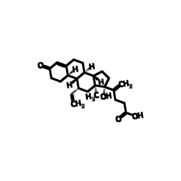 C=C[C@H]1C[C@@]2(C)[C@@H](CC[C@@]2(O)C(=C)CCC(=O)O)[C@@H]2CCC3=CC(=O)CC[C@@H]3[C@H]21